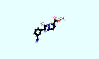 COC(=O)c1ccc2nc(-c3cccc(C#N)c3)c(Br)n2n1